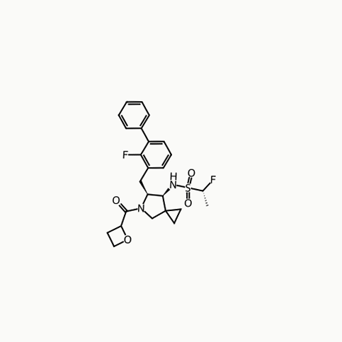 C[C@@H](F)S(=O)(=O)N[C@@H]1[C@H](Cc2cccc(-c3ccccc3)c2F)N(C(=O)C2CCO2)CC12CC2